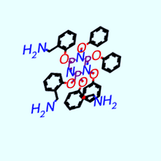 NCc1ccccc1OP1N=P(Oc2ccccc2CN)(Oc2ccccc2CN)N(Oc2ccccc2)P(Oc2ccccc2)N1Oc1ccccc1